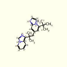 CC(C)(C)c1cc(CC(C)(C)c2ncn3ccccc23)cc2nccn12